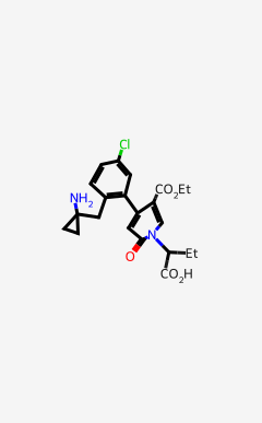 CCOC(=O)c1cn(C(CC)C(=O)O)c(=O)cc1-c1cc(Cl)ccc1CC1(N)CC1